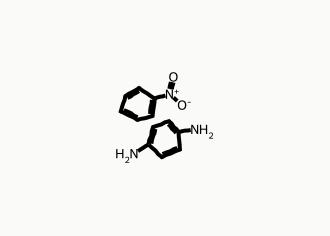 Nc1ccc(N)cc1.O=[N+]([O-])c1ccccc1